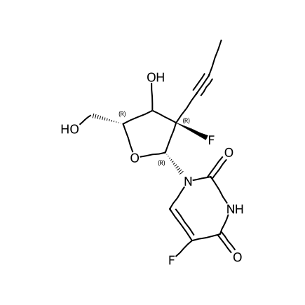 CC#C[C@@]1(F)C(O)[C@@H](CO)O[C@H]1n1cc(F)c(=O)[nH]c1=O